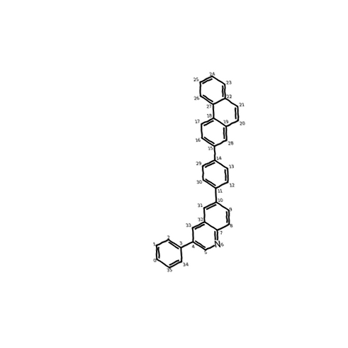 c1ccc(-c2cnc3ccc(-c4ccc(-c5ccc6c(ccc7ccccc76)c5)cc4)cc3c2)cc1